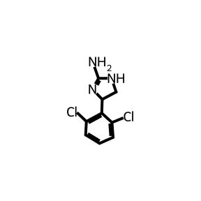 NC1=NC(c2c(Cl)cccc2Cl)CN1